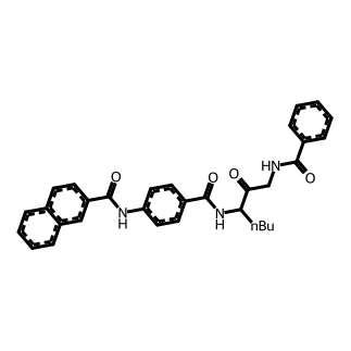 CCCCC(NC(=O)c1ccc(NC(=O)c2ccc3ccccc3c2)cc1)C(=O)CNC(=O)c1ccccc1